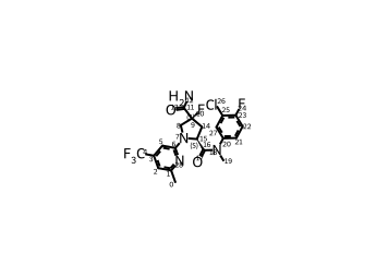 Cc1cc(C(F)(F)F)cc(N2C[C@](F)(C(N)=O)C[C@H]2C(=O)N(C)c2ccc(F)c(Cl)c2)n1